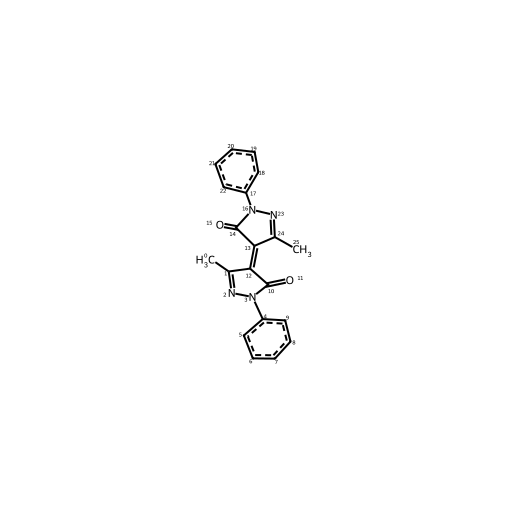 CC1=NN(c2ccccc2)C(=O)/C1=C1/C(=O)N(c2ccccc2)N=C1C